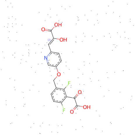 O=C(O)C(=O)c1c(F)ccc(COc2ccc(/C=C(\O)C(=O)O)nc2)c1F